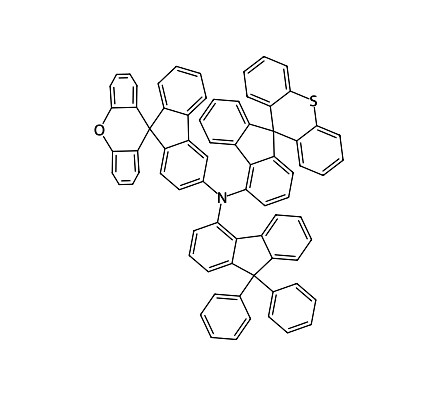 c1ccc(C2(c3ccccc3)c3ccccc3-c3c(N(c4ccc5c(c4)-c4ccccc4C54c5ccccc5Oc5ccccc54)c4cccc5c4-c4ccccc4C54c5ccccc5Sc5ccccc54)cccc32)cc1